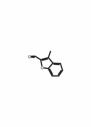 Cc1c(C=O)oc2ccccc12